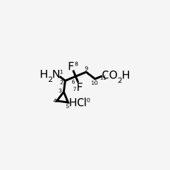 Cl.NC(C1CC1)C(F)(F)CCC(=O)O